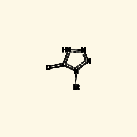 CCn1nn[nH]c1=O